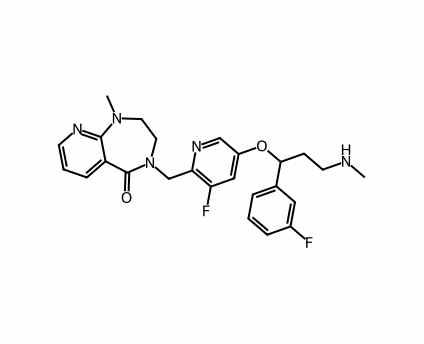 CNCCC(Oc1cnc(CN2CCN(C)c3ncccc3C2=O)c(F)c1)c1cccc(F)c1